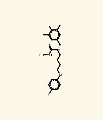 Cc1cc(C[C@H](CCCCNc2ccc(F)cc2)C(=O)NO)cc(C)c1F